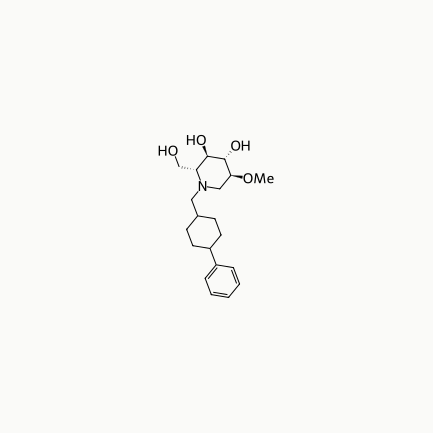 CO[C@H]1CN(CC2CCC(c3ccccc3)CC2)[C@H](CO)[C@@H](O)[C@@H]1O